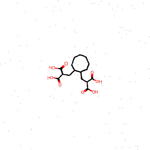 O=C(O)C(CC1CCCCCCC1CC(C(=O)O)C(=O)O)C(=O)O